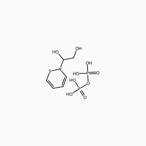 O=P(O)(O)OP(=O)(O)O.OCC(O)N1C=CC=CS1